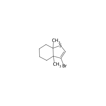 CC12CCCCC1(C)C(Br)=CS2